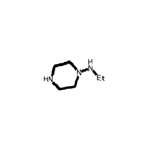 [CH2]CNN1CCNCC1